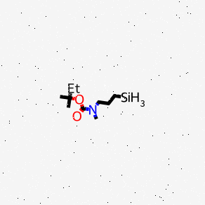 CCC(C)(C)OC(=O)N(C)CCC[SiH3]